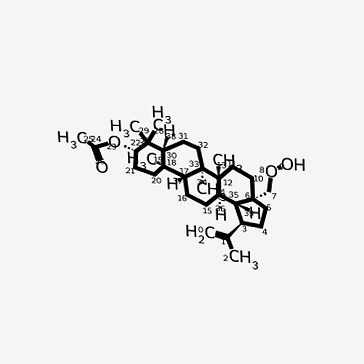 C=C(C)[C@@H]1CC[C@]2(COO)CC[C@]3(C)[C@H](CC[C@@H]4[C@@]5(C)CC[C@H](OC(C)=O)C(C)(C)[C@@H]5CC[C@]43C)[C@@H]12